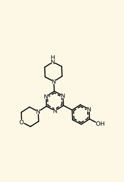 Oc1ccc(-c2nc(N3CCNCC3)nc(N3CCOCC3)n2)cn1